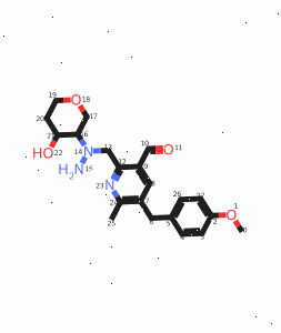 COc1ccc(Cc2cc(C=O)c(CN(N)C3COCCC3O)nc2C)cc1